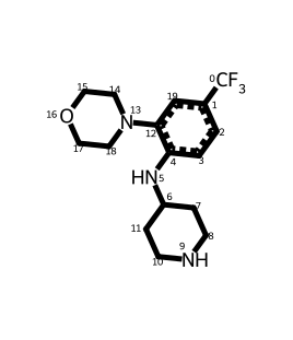 FC(F)(F)c1ccc(NC2CCNCC2)c(N2CCOCC2)c1